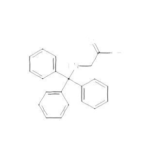 CC(=O)CNC(c1ccccc1)(c1ccccc1)c1ccccc1